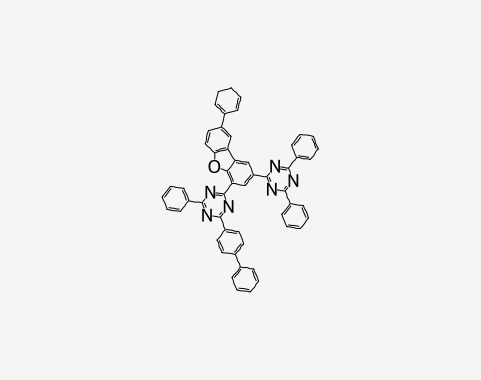 C1=CC(c2ccc3oc4c(-c5nc(-c6ccccc6)nc(-c6ccc(-c7ccccc7)cc6)n5)cc(-c5nc(-c6ccccc6)nc(-c6ccccc6)n5)cc4c3c2)=CCC1